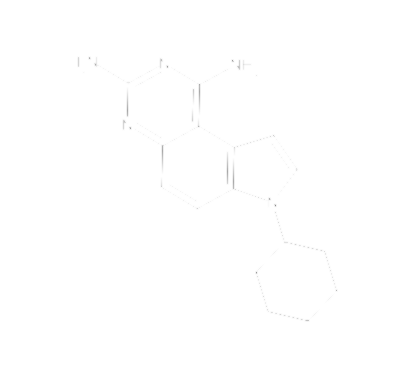 Nc1nc(N)c2c(ccc3c2ccn3C2CCCCC2)n1